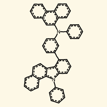 c1ccc(N(c2cccc(-c3cccc4c3c3ccc5ccccc5c3n4-c3ccccc3)c2)c2cc3ccccc3c3ccccc23)cc1